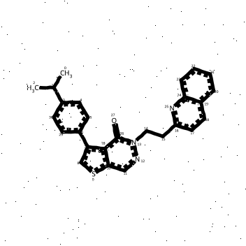 CC(C)c1ccc(-c2csc3cnn(CCc4ccc5ccccc5n4)c(=O)c23)cc1